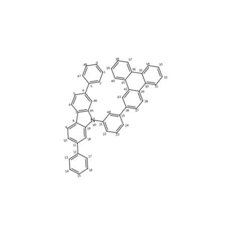 c1ccc(-c2ccc3c4ccc(-c5ccccc5)cc4n(-c4cccc(-c5ccc6c7ccccc7c7ccccc7c6c5)c4)c3c2)cc1